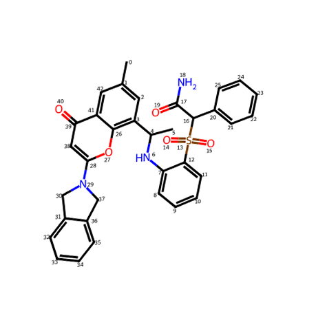 Cc1cc(C(C)Nc2ccccc2S(=O)(=O)C(C(N)=O)c2ccccc2)c2oc(N3Cc4ccccc4C3)cc(=O)c2c1